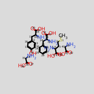 CSCCC(N)C(=O)O.NC(Cc1ccc(O)cc1)C(=O)O.NC(Cc1ccccc1)C(=O)O.NCC(=O)O.NCC(=O)O